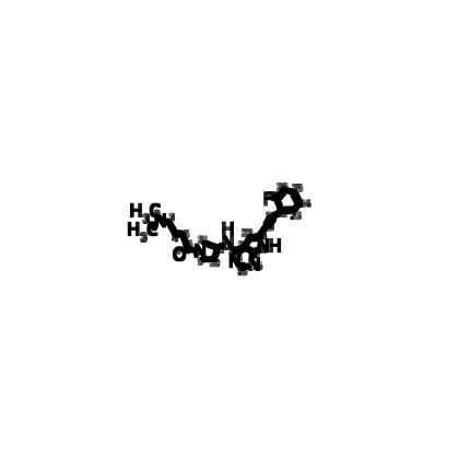 CN(C)CC=CC(=O)N1CCC(Nc2ncnc3[nH]c(C#Cc4ccccc4F)cc23)C1